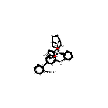 CC(=O)Nc1ccccc1-c1ccc2c(c1)Sc1ccccc1N2C1CC2CCC(C1)N2Cc1ccoc1